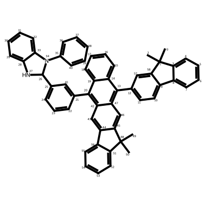 CC1(C)c2ccccc2-c2ccc(-c3c4ccccc4c(-c4cccc(C5Nc6ccccc6N5c5ccccc5)c4)c4cc5c(cc34)C(C)(C)c3ccccc3-5)cc21